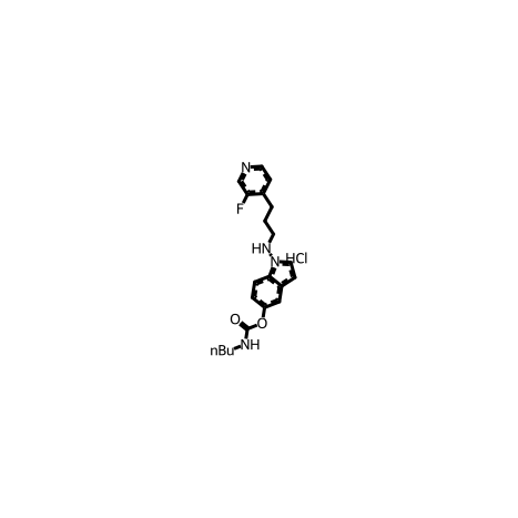 CCCCNC(=O)Oc1ccc2c(ccn2NCCCc2ccncc2F)c1.Cl